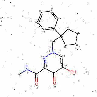 CNC(=O)c1nn(CC2(c3ccccc3)CCCC2)cc(O)c1=O